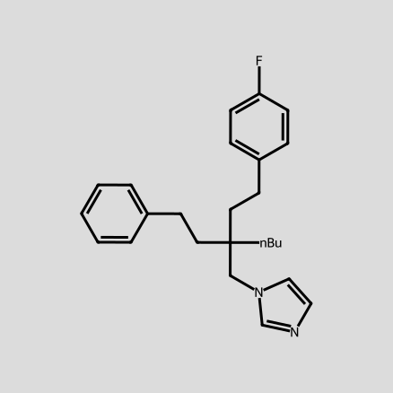 CCCCC(CCc1ccccc1)(CCc1ccc(F)cc1)Cn1ccnc1